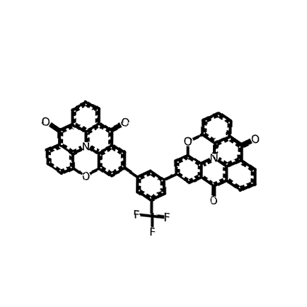 O=c1c2cccc3c2n2c4c(cc(-c5cc(-c6cc7c8c(c6)c(=O)c6cccc9c(=O)c%10cccc(c%10n8c96)O7)cc(C(F)(F)F)c5)cc4c(=O)c4cccc1c42)O3